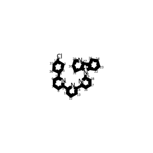 Clc1ccc(-c2cccc(-c3cccc(-c4cccc(-n5c6ccccc6c6ncccc65)n4)n3)n2)cc1